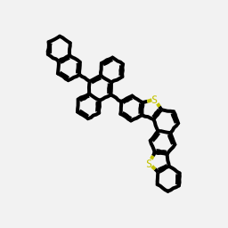 C1=Cc2ccc(-c3c4ccccc4c(-c4ccc5c(c4)sc4ccc6cc7c8c(sc7cc6c45)CCC=C8)c4ccccc34)cc2CC1